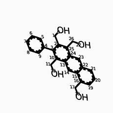 OCc1c(-c2ccccc2)c(CO)c2cc3c(CO)cccc3cc2c1CO